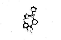 Cc1ccc(Sc2cnc(Nc3ccccn3)s2)cc1C(=O)N1CCCC(O)C1